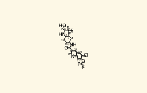 O=C(NC1CCC(NC(CO)C(F)(F)F)CC1)c1cnc2cc(OC(F)F)c(Cl)cc2c1